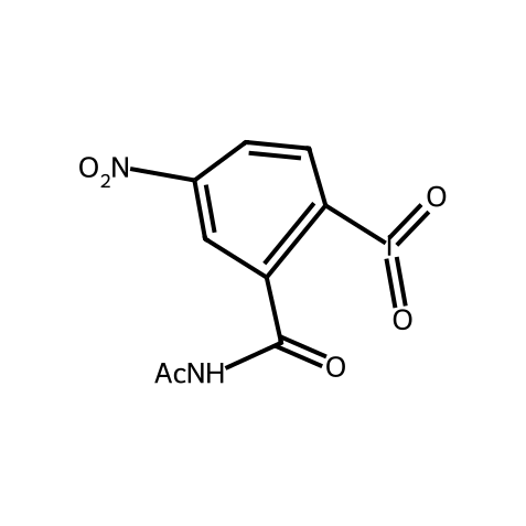 CC(=O)NC(=O)c1cc([N+](=O)[O-])ccc1I(=O)=O